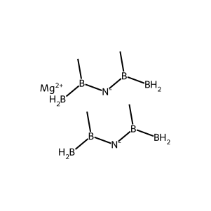 BB(C)[N-]B(B)C.BB(C)[N-]B(B)C.[Mg+2]